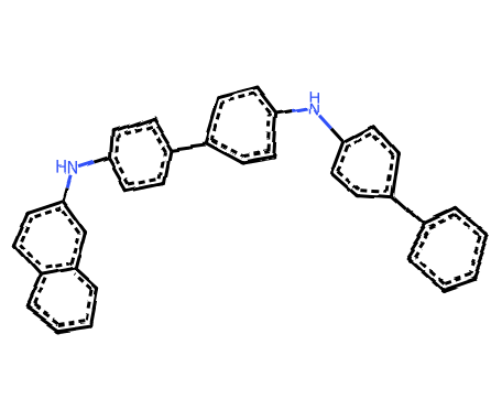 c1ccc(-c2ccc(Nc3ccc(-c4ccc(Nc5ccc6ccccc6c5)cc4)cc3)cc2)cc1